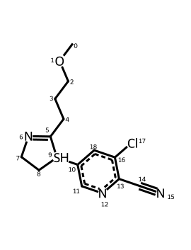 COCCCC1=NCC[SH]1c1cnc(C#N)c(Cl)c1